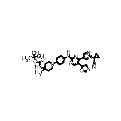 CC1(NC(=O)OC(C)(C)C)CCN(c2ccc(Nc3ncc(-c4cnco4)c(-c4cnn(C5(C#N)CC5)c4)n3)cc2)CC1